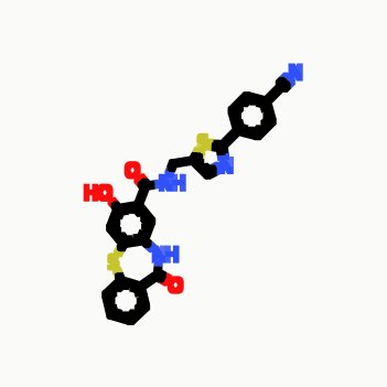 N#Cc1ccc(-c2ncc(CNC(=O)c3cc4c(cc3O)Sc3ccccc3C(=O)N4)s2)cc1